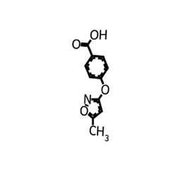 Cc1cc(Oc2ccc(C(=O)O)cc2)no1